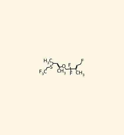 C/C(=C\C(C)SCC(F)(F)F)OCC(F)(F)/C(C)=C/CF